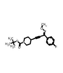 CO/N=C(\C#CC1CCN(C(=O)OC(C)(C)C)CC1)c1ccc(F)cc1